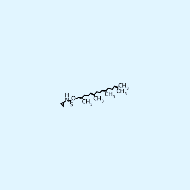 CC(C)=CCC/C(C)=C/CC/C(C)=C/CC/C(C)=C/COC(=S)NC1CC1